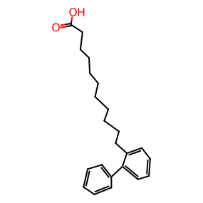 O=C(O)CCCCCCCCCCc1ccccc1-c1ccccc1